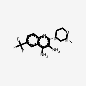 C[C@@H]1C[C@H](c2nc3ccc(C(F)(F)F)cc3c(N)c2N)CCO1